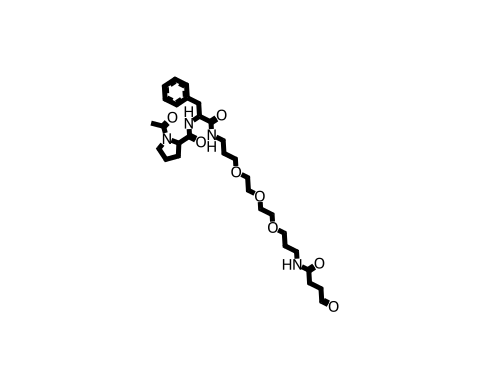 CC(=O)N1CCCC1C(=O)NC(Cc1ccccc1)C(=O)NCCCOCCOCCOCCCNC(=O)CCC=O